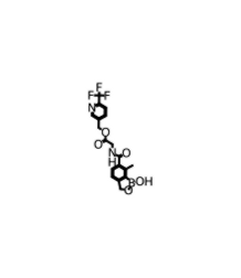 Cc1c(C(=O)NCC(=O)OCc2ccc(C(F)(F)F)nc2)ccc2c1B(O)OC2